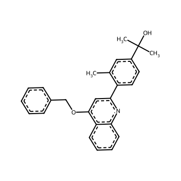 Cc1cc(C(C)(C)O)ccc1-c1cc(OCc2ccccc2)c2ccccc2n1